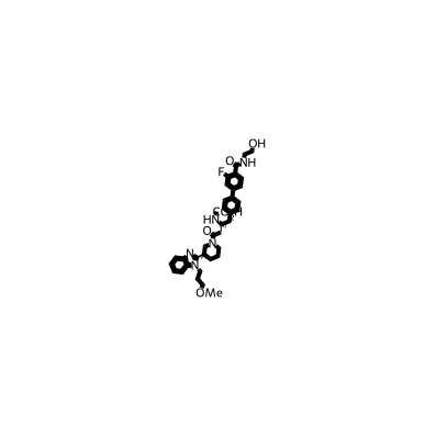 COCCCn1c([C@@H]2CCCN(C(=O)C[C@@H](Cc3ccc(-c4ccc(C(=O)NCCO)c(F)c4)cc3)NC(=O)O)C2)nc2ccccc21